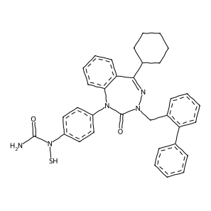 NC(=O)N(S)c1ccc(N2C(=O)N(Cc3ccccc3-c3ccccc3)N=C(C3CCCCC3)c3ccccc32)cc1